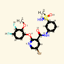 COc1c(Oc2ncc(Br)cc2C(=O)Nc2cccc(S(C)(=N)=O)c2)ccc(F)c1F